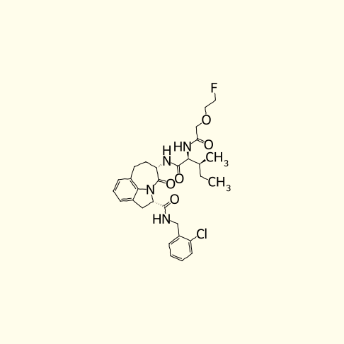 CC[C@H](C)[C@H](NC(=O)COCCF)C(=O)N[C@H]1CCc2cccc3c2N(C1=O)[C@H](C(=O)NCc1ccccc1Cl)C3